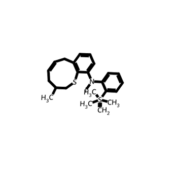 C=S(C)(C)(C)c1ccccc1N(I)c1cccc2c1SCC(C)C/C=C\C2